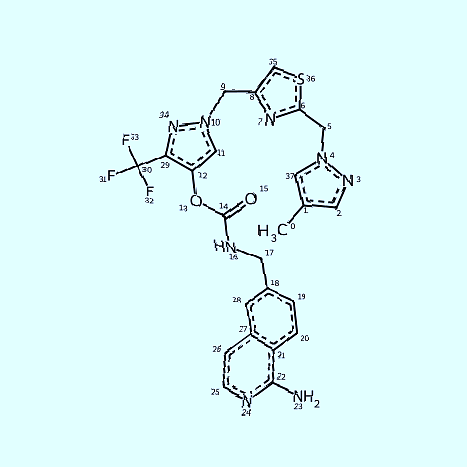 Cc1cnn(Cc2nc(Cn3cc(OC(=O)NCc4ccc5c(N)nccc5c4)c(C(F)(F)F)n3)cs2)c1